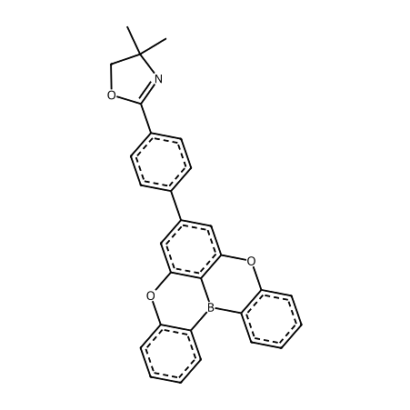 CC1(C)COC(c2ccc(-c3cc4c5c(c3)Oc3ccccc3B5c3ccccc3O4)cc2)=N1